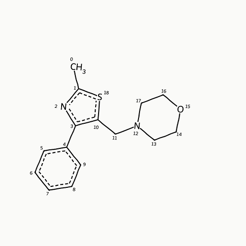 Cc1nc(-c2ccccc2)c(CN2CCOCC2)s1